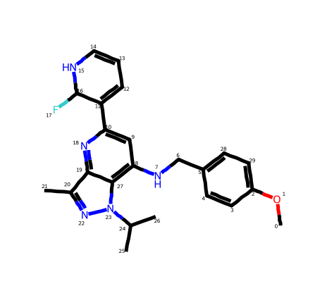 COc1ccc(CNc2cc(C3=CC=CNC3F)nc3c(C)nn(C(C)C)c23)cc1